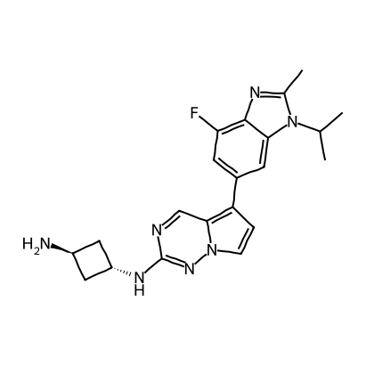 Cc1nc2c(F)cc(-c3ccn4nc(N[C@H]5C[C@H](N)C5)ncc34)cc2n1C(C)C